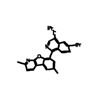 Cc1cc(-c2ncc(CC(C)C)c3cc(C(C)C)ccc23)c2oc3nc(C)ccc3c2c1